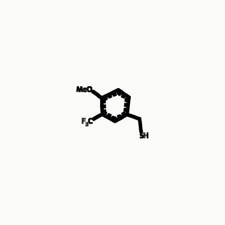 COc1ccc(CS)cc1C(F)(F)F